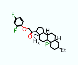 CC[C@H]1CC[C@]2(F)C3CC[C@@]4(C)C(CC[C@@H]4C(=O)COc4ccc(F)cc4F)[C@@H]3CC[C@@H]2C1